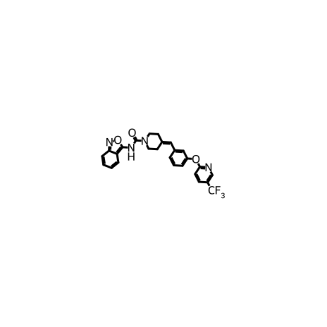 O=C(Nc1onc2ccccc12)N1CCC(=Cc2cccc(Oc3ccc(C(F)(F)F)cn3)c2)CC1